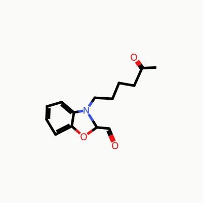 CC(=O)CCCCN1c2ccccc2OC1C=O